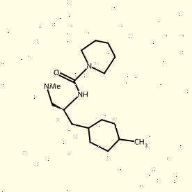 CNC[C@H](CC1CCC(C)CC1)NC(=O)N1CCCCC1